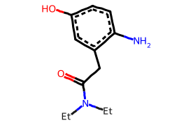 CCN(CC)C(=O)Cc1cc(O)ccc1N